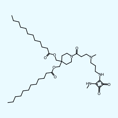 CCCCCCCCCCCC(=O)OCC1(COC(=O)CCCCCCCCCCC)CCN(C(=O)CCN(C)CCCNc2c(NC)c(=O)c2=O)CC1